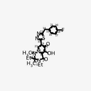 CCN1C(=O)c2c(O)c(=O)c(-c3nnc(Cc4ccc(F)cc4)s3)cn2N(C)C1(C)CC